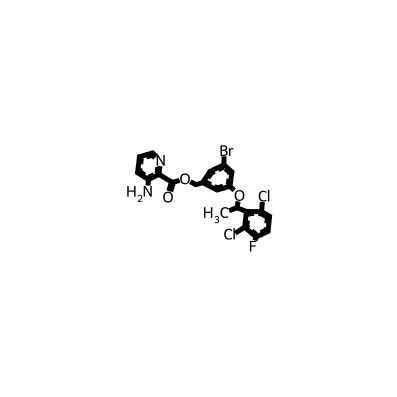 CC(Oc1cc(Br)cc(COC(=O)c2ncccc2N)c1)c1c(Cl)ccc(F)c1Cl